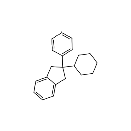 [c]1ccc(C2(C3CCCCC3)Cc3ccccc3C2)cc1